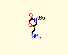 CC(C)(C)N1C[C@@H](CCN)OCC1=O